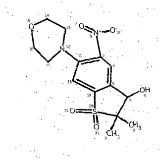 CC1(C)C(O)c2cc([N+](=O)[O-])c(N3CCOCC3)cc2S1(=O)=O